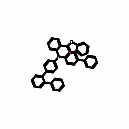 c1ccc(-c2ccc(N(c3ccc(-c4ccccc4-c4ccccc4)cc3)c3ccccc3-c3cc4ccccc4o3)cc2)cc1